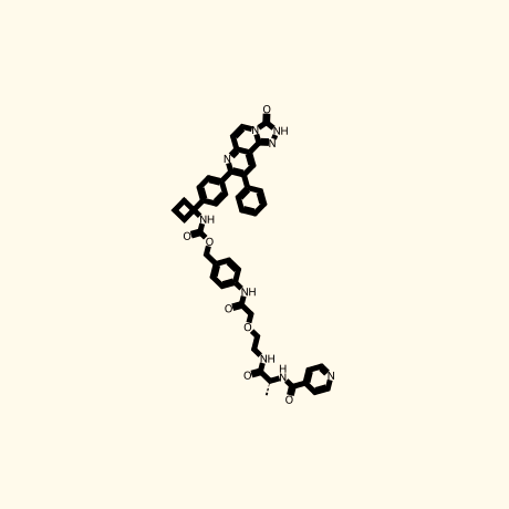 C[C@@H](NC(=O)c1ccncc1)C(=O)NCCOCC(=O)Nc1ccc(COC(=O)NC2(c3ccc(-c4nc5ccn6c(=O)[nH]nc6c5cc4-c4ccccc4)cc3)CCC2)cc1